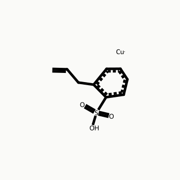 C=CCc1ccccc1S(=O)(=O)O.[Cu]